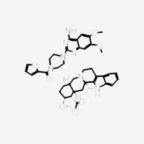 COC(=O)[C@@H]1[C@H]2C[C@H]3c4[nH]c5ccccc5c4CCN3C[C@@H]2CC[C@@H]1O.COc1cc2nc(N3CCN(C(=O)c4ccco4)CC3)nc(N)c2cc1OC